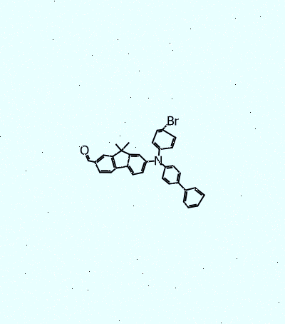 CC1(C)c2cc(C=O)ccc2-c2ccc(N(c3ccc(Br)cc3)c3ccc(-c4ccccc4)cc3)cc21